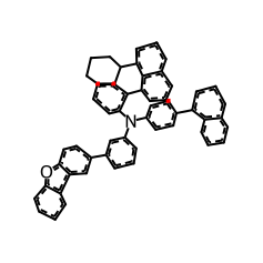 c1cc(-c2ccc3oc4ccccc4c3c2)cc(N(c2ccc(-c3cccc4ccccc34)cc2)c2ccccc2-c2cccc3cccc(C4CCCCC4)c23)c1